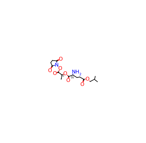 CC(C)COC(=O)CC[C@H](N)C(=O)O[C@@H](C)C(=O)ON1C(=O)CCC1=O